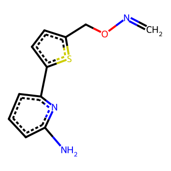 C=NOCc1ccc(-c2cccc(N)n2)s1